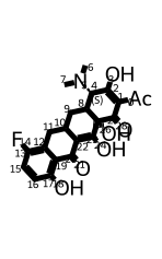 CC(=O)C1=C(O)[C@@H](N(C)C)C2CC3Cc4c(F)ccc(O)c4C(=O)C3=C(O)[C@]2(O)C1=O